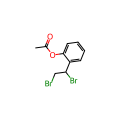 CC(=O)Oc1ccccc1C(Br)CBr